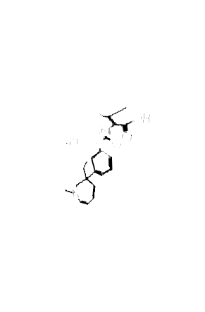 CCC1(c2cccc(OC(=O)NC(C(=O)O)C(C)C)c2)C=CC=CN(C)C1.Cl